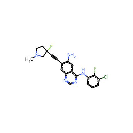 CN1CC[C@](F)(C#Cc2cc3ncnc(Nc4cccc(Cl)c4F)c3cc2N)C1